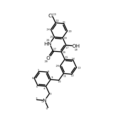 CN(C)Cc1ccccc1Cc1cccc(-c2c(O)c3ccc(Cl)cc3[nH]c2=O)c1